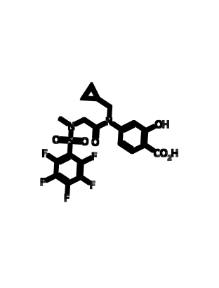 CN(CC(=O)N(CC1CC1)c1ccc(C(=O)O)c(O)c1)S(=O)(=O)c1c(F)c(F)c(F)c(F)c1F